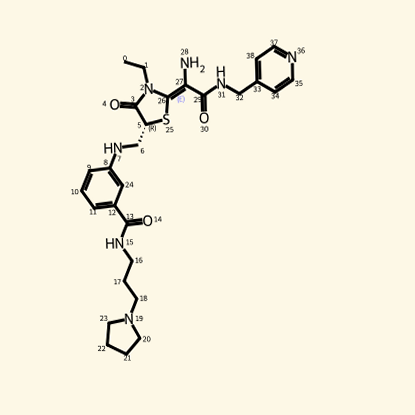 CCN1C(=O)[C@@H](CNc2cccc(C(=O)NCCCN3CCCC3)c2)S/C1=C(/N)C(=O)NCc1ccncc1